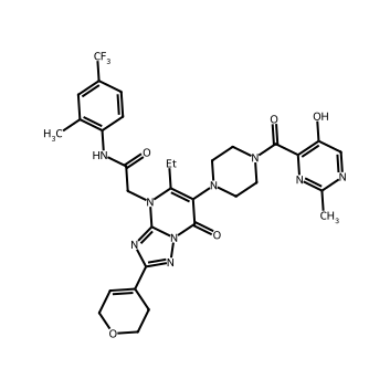 CCc1c(N2CCN(C(=O)c3nc(C)ncc3O)CC2)c(=O)n2nc(C3=CCOCC3)nc2n1CC(=O)Nc1ccc(C(F)(F)F)cc1C